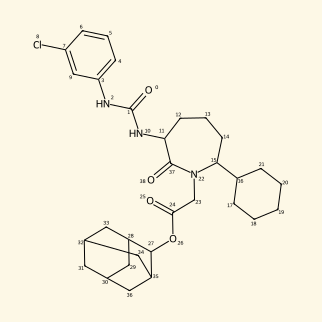 O=C(Nc1cccc(Cl)c1)NC1CCCC(C2CCCCC2)N(CC(=O)OC2C3CC4CC(C3)CC2C4)C1=O